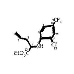 C=CCC(Nc1ccc(C(F)(F)F)cc1Cl)C(=O)OCC